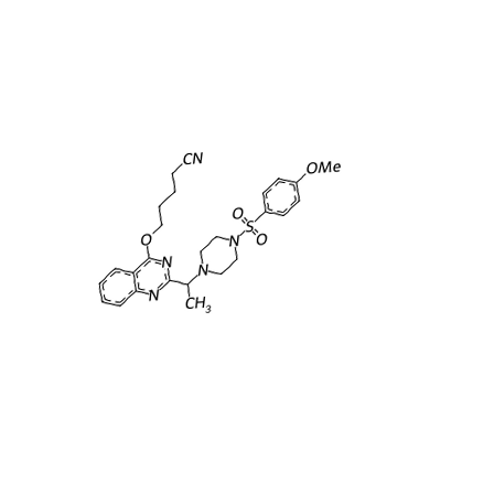 COc1ccc(S(=O)(=O)N2CCN(C(C)c3nc(OCCCCC#N)c4ccccc4n3)CC2)cc1